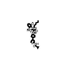 CCCCCc1nc(=O)c(S(=O)(=O)c2ccc(-c3ccnc(NC(=O)C4CC4)c3)cc2)c(O)n1-c1c(OC)cccc1OC